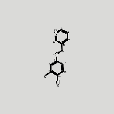 Cc1cc(SCc2cccnc2)ccc1Cl